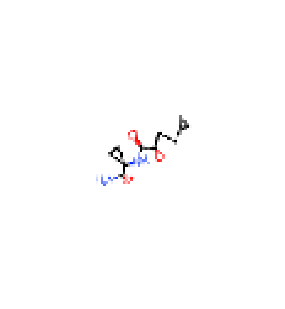 NC(=O)C1(NC(=O)C(=O)[CH]CC2CC2)CC1